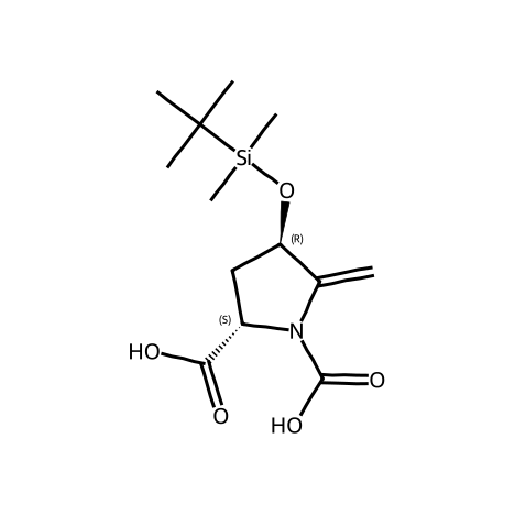 C=C1[C@H](O[Si](C)(C)C(C)(C)C)C[C@@H](C(=O)O)N1C(=O)O